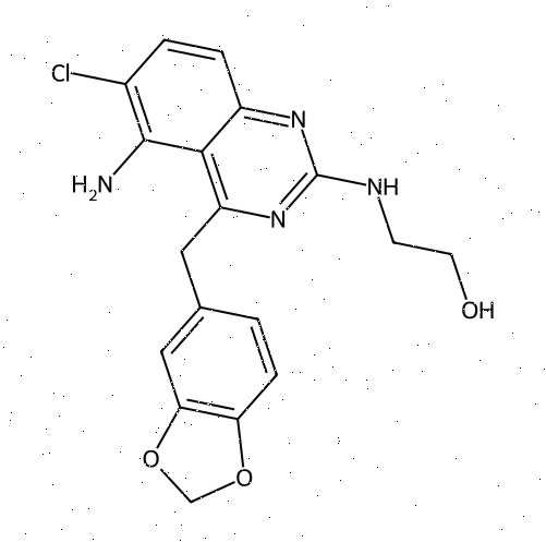 Nc1c(Cl)ccc2nc(NCCO)nc(Cc3ccc4c(c3)OCO4)c12